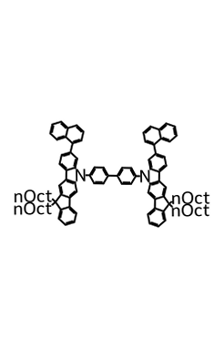 CCCCCCCCC1(CCCCCCCC)c2ccccc2-c2cc3c(cc21)c1ccc(-c2cccc4ccccc24)cc1n3-c1ccc(-c2ccc(-n3c4cc(-c5cccc6ccccc56)ccc4c4cc5c(cc43)-c3ccccc3C5(CCCCCCCC)CCCCCCCC)cc2)cc1